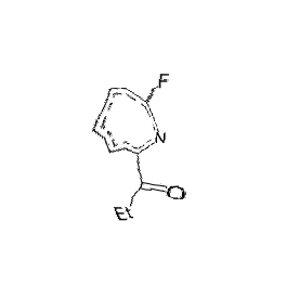 CCC(=O)c1cccc(F)n1